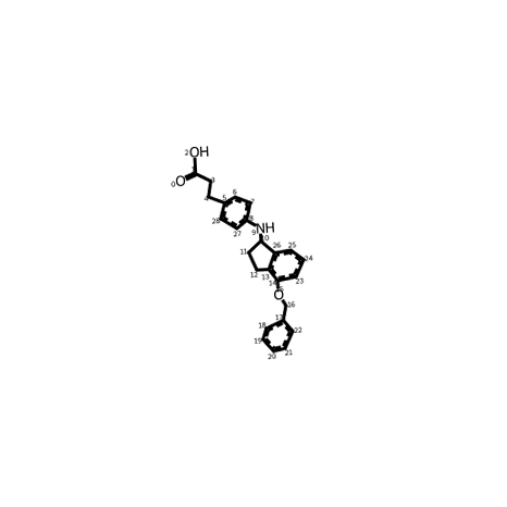 O=C(O)CCc1ccc(NC2CCc3c(OCc4ccccc4)cccc32)cc1